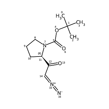 CC(C)(C)OC(=O)N1CCC[C@@H]1C(=O)C=[N+]=[N-]